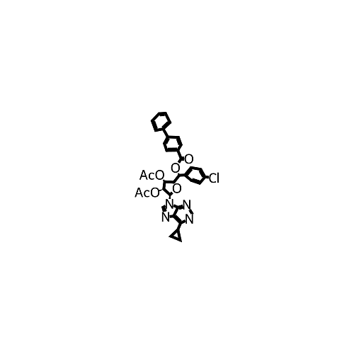 CC(=O)O[C@H]1[C@@H](OC(C)=O)[C@H](n2cnc3c(C4CC4)ncnc32)O[C@@H]1[C@H](OC(=O)c1ccc(-c2ccccc2)cc1)c1ccc(Cl)cc1